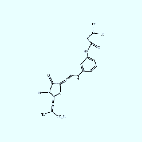 CCOC(=O)C(=C=c1sc(=C=CNc2cccc(NC(=O)CN(CC)CC)c2)c(=O)n1CC)C#N